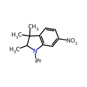 CC(C)N1c2cc([N+](=O)[O-])ccc2C(C)(C)C1C